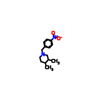 CC1CCN(Cc2ccc([N+](=O)[O-])cc2)CC1C